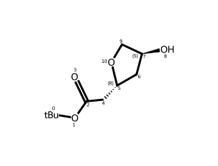 CC(C)(C)OC(=O)C[C@H]1C[C@H](O)CO1